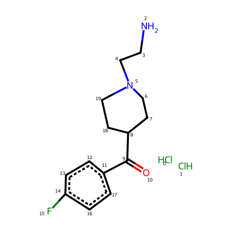 Cl.Cl.NCCN1CCC(C(=O)c2ccc(F)cc2)CC1